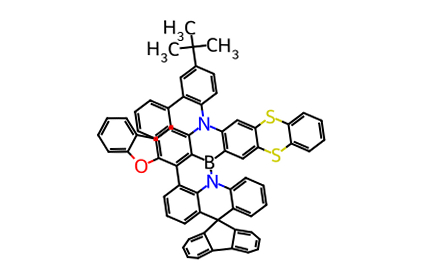 CC(C)(C)c1ccc(N2c3cc4c(cc3B3c5c2cc2c(oc6ccccc62)c5-c2cccc5c2N3c2ccccc2C52c3ccccc3-c3ccccc32)Sc2ccccc2S4)c(-c2ccccc2)c1